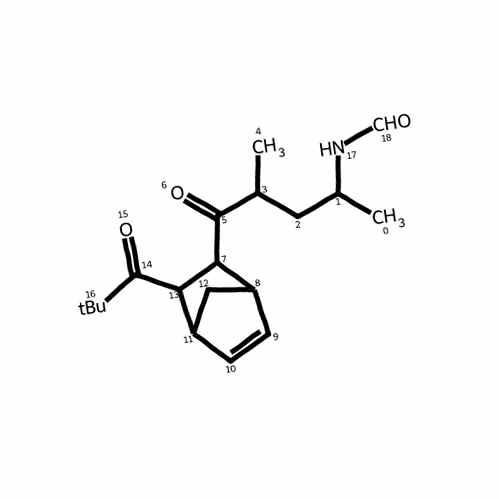 CC(CC(C)C(=O)C1C2C=CC(C2)C1C(=O)C(C)(C)C)NC=O